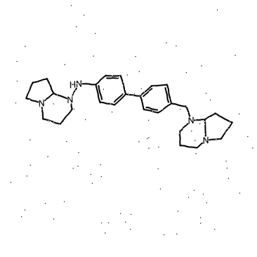 c1cc(-c2ccc(NN3CCCN4CCCC43)cc2)ccc1CN1CCCN2CCCC21